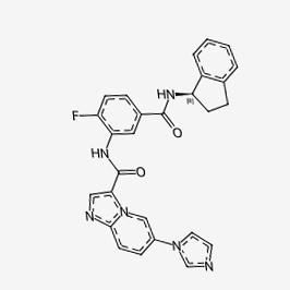 O=C(N[C@@H]1CCc2ccccc21)c1ccc(F)c(NC(=O)c2cnc3ccc(-n4ccnc4)cn23)c1